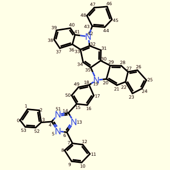 c1ccc(-c2nc(-c3ccccc3)nc(-c3ccc(-n4c5cc6ccccc6cc5c5cc6c(cc54)c4ccccc4n6-c4ccccc4)cc3)n2)cc1